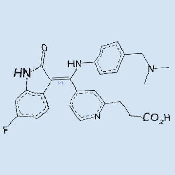 CN(C)Cc1ccc(N/C(=C2\C(=O)Nc3cc(F)ccc32)c2ccnc(CCC(=O)O)c2)cc1